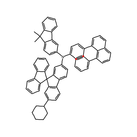 CC1(C)c2ccccc2-c2cc(N(c3ccc(-c4cccc5cccc(-c6ccccc6)c45)cc3)c3ccc4c(c3)C3(c5ccccc5-c5ccccc53)c3cc(C5CCCCC5)ccc3-4)ccc21